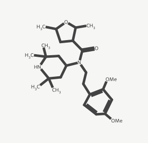 COc1ccc(CCN(C(=O)C2CC(C)OC2C)C2CC(C)(C)NC(C)(C)C2)c(OC)c1